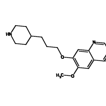 COc1cc2[c]ccnc2cc1OCCCC1CCNCC1